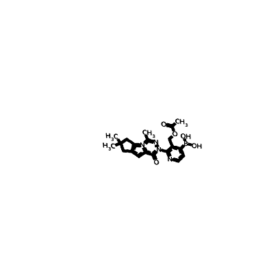 CC(=O)OCc1c(B(O)O)ccnc1-n1nc(C)n2c3c(cc2c1=O)CC(C)(C)C3